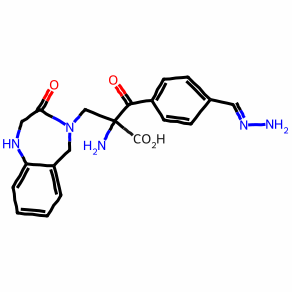 NN=Cc1ccc(C(=O)C(N)(CN2Cc3ccccc3NCC2=O)C(=O)O)cc1